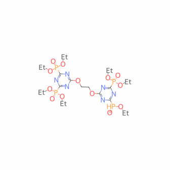 CCO[PH](=O)c1nc(OCCOc2nc(P(=O)(OCC)OCC)nc(P(=O)(OCC)OCC)n2)nc(P(=O)(OCC)OCC)n1